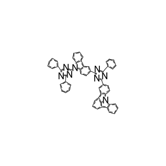 c1ccc(-c2nc(-c3ccc4c(c3)c3ccccc3n4-c3nc(-c4ccccc4)nc(-c4ccccc4)n3)nc(-c3ccc4c(c3)c3cccc5c6ccccc6n4c53)n2)cc1